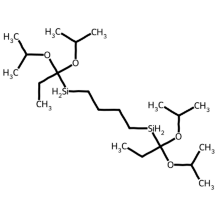 CCC(OC(C)C)(OC(C)C)[SiH2]CCCC[SiH2]C(CC)(OC(C)C)OC(C)C